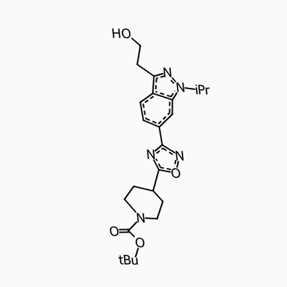 CC(C)n1nc(CCO)c2ccc(-c3noc(C4CCN(C(=O)OC(C)(C)C)CC4)n3)cc21